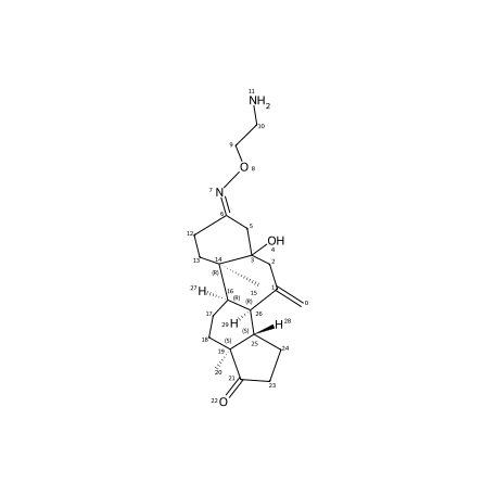 C=C1CC2(O)CC(=NOCCN)CC[C@]2(C)[C@@H]2CC[C@]3(C)C(=O)CC[C@H]3[C@H]12